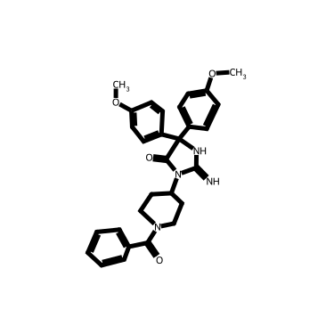 COc1ccc(C2(c3ccc(OC)cc3)NC(=N)N(C3CCN(C(=O)c4ccccc4)CC3)C2=O)cc1